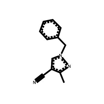 Cc1nn(Cc2ccccc2)cc1C#N